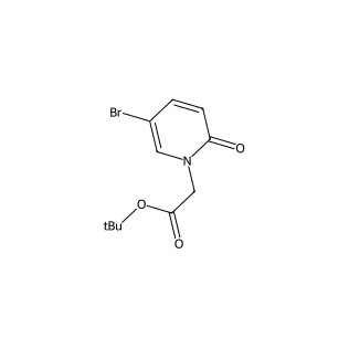 CC(C)(C)OC(=O)Cn1cc(Br)ccc1=O